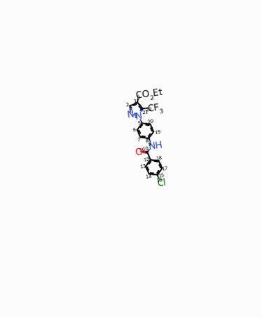 CCOC(=O)c1cnn(-c2ccc(NC(=O)c3ccc(Cl)cc3)cc2)c1C(F)(F)F